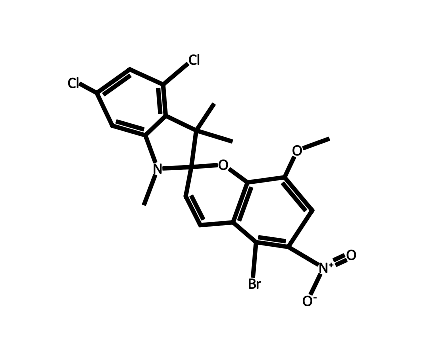 COc1cc([N+](=O)[O-])c(Br)c2c1OC1(C=C2)N(C)c2cc(Cl)cc(Cl)c2C1(C)C